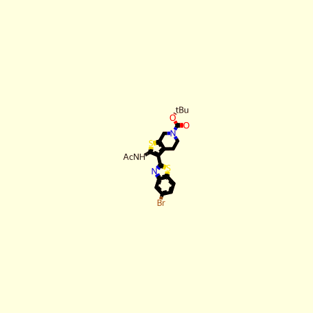 CC(=O)Nc1sc2c(c1-c1nc3cc(Br)ccc3s1)CCN(C(=O)OC(C)(C)C)C2